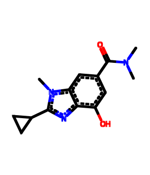 CN(C)C(=O)c1cc(O)c2nc(C3CC3)n(C)c2c1